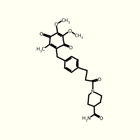 COC1=C(OC)C(=O)C(Cc2ccc(CCC(=O)N3CCC(C(N)=O)CC3)cc2)=C(C)C1=O